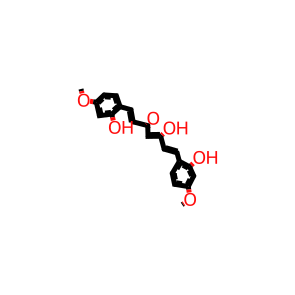 COc1ccc(/C=C/C(=O)/C=C(O)/C=C/c2ccc(OC)cc2O)c(O)c1